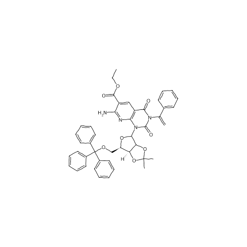 C=C(c1ccccc1)n1c(=O)c2cc(C(=O)OCC)c(N)nc2n(C2O[C@H](COC(c3ccccc3)(c3ccccc3)c3ccccc3)[C@@H]3OC(C)(C)OC23)c1=O